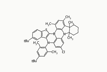 Cc1cc(C)c2c3c1B1c4sc5ccc(C(C)(C)C)cc5c4N(c4c(C)cc(C(C)(C)C)cc4C)c4cc(Cl)cc(c41)N3C1(C)CCCCC21C